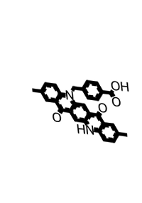 Cc1ccc2[nH]c3cc4c(=O)c5cc(C)ccc5n(Cc5ccc(C(=O)O)cc5)c4cc3c(=O)c2c1